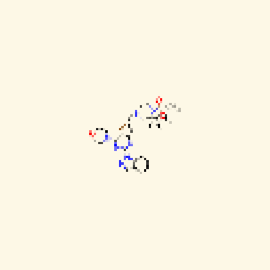 CC1(C)CN(Cc2cc3nc(-n4ncc5ccccc54)nc(N4CCOCC4)c3s2)CCN1S(C)(=O)=O